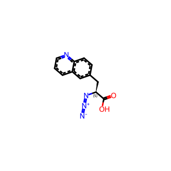 [N-]=[N+]=N[C@@H](Cc1ccc2ncccc2c1)C(=O)O